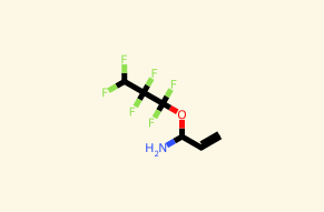 C=CC(N)OC(F)(F)C(F)(F)C(F)F